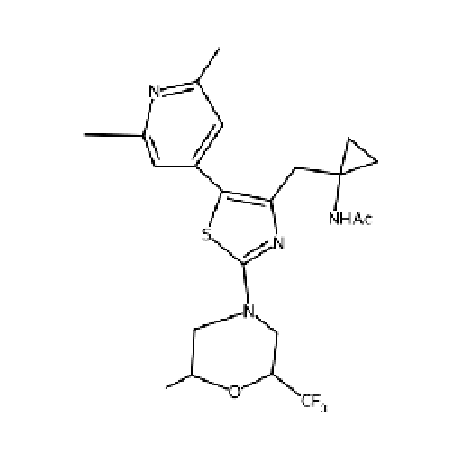 CC(=O)NC1(Cc2nc(N3CC(C)OC(C(F)(F)F)C3)sc2-c2cc(C)nc(C)c2)CC1